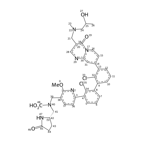 COc1nc(-c2cccc(-c3cccc(-c4ccn5c(=O)c(CN(C)CC(C)O)cnc5c4)c3Cl)c2Cl)ccc1CN(C[C@@H]1CCC(=O)N1)C(=O)O